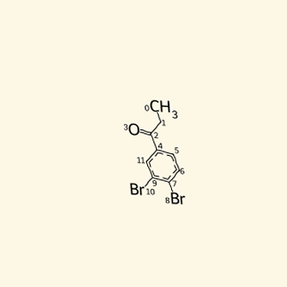 CCC(=O)c1ccc(Br)c(Br)c1